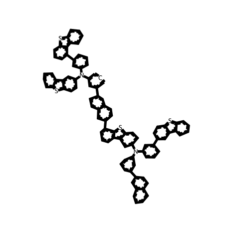 c1cc(-c2ccc3cc(-c4cccc5c4sc4ccc(N(c6cccc(-c7ccc8ccccc8c7)c6)c6cccc(-c7ccc8sc9ccccc9c8c7)c6)cc45)ccc3c2)cc(N(c2cccc(-c3cccc4sc5ccccc5c34)c2)c2ccc3sc4ccccc4c3c2)c1